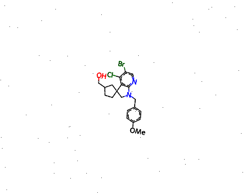 COc1ccc(CN2CC3(CCC(CO)C3)c3c2ncc(Br)c3Cl)cc1